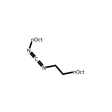 CCCCCCCCCCN=C=NCCCCCCCC